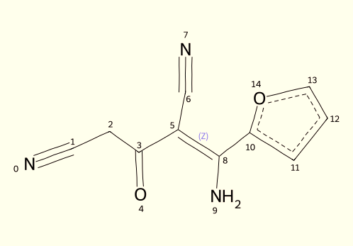 N#CCC(=O)/C(C#N)=C(\N)c1ccco1